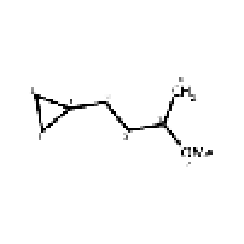 [CH2]C(CCC1CC1)OC